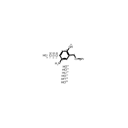 CC(C)OCc1cc(N)ccc1O.Cl.Cl.Cl.Cl.Cl.Cl.Cl.Cl.Cl.Cl